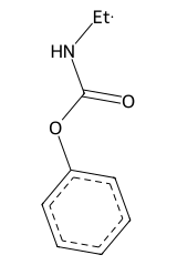 C[CH]NC(=O)Oc1ccccc1